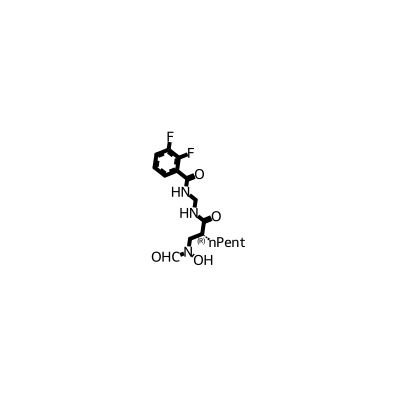 CCCCC[C@H](CN(O)C=O)C(=O)NCNC(=O)c1cccc(F)c1F